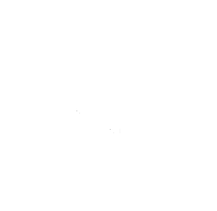 BC(C(=O)OC(C)C)C(CC)(CC)CC(C)(N)CN